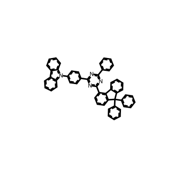 c1ccc(-c2nc(-c3ccc(-n4c5ccccc5c5ccccc54)cc3)nc(-c3cccc4c3-c3ccccc3C4(c3ccccc3)c3ccccc3)n2)cc1